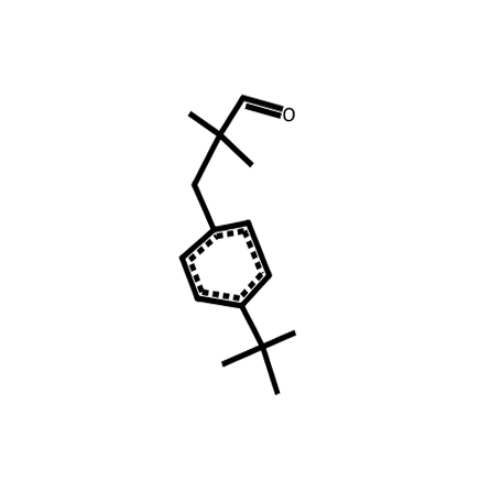 CC(C)(C=O)Cc1ccc(C(C)(C)C)cc1